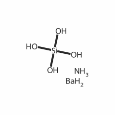 N.O[Si](O)(O)O.[BaH2]